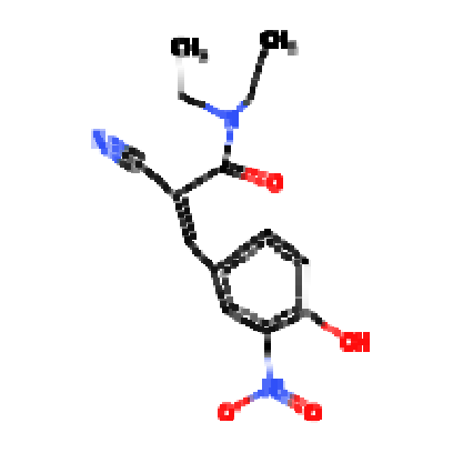 CCN(CC)C(=O)C(C#N)=Cc1ccc(O)c([N+](=O)[O-])c1